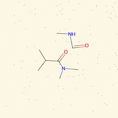 CC(C)C(=O)N(C)C.CNC=O